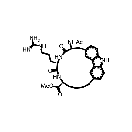 COC(=O)[C@@H]1CCCCc2ccc3[nH]c4ccc(cc4c3c2)CC(NC(C)=O)C(=O)N[C@H](CCCNC(=N)N)C(=O)N1